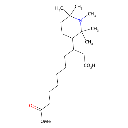 COC(=O)CCCCCCC(CC(=O)O)C1CCC(C)(C)N(C)C1(C)C